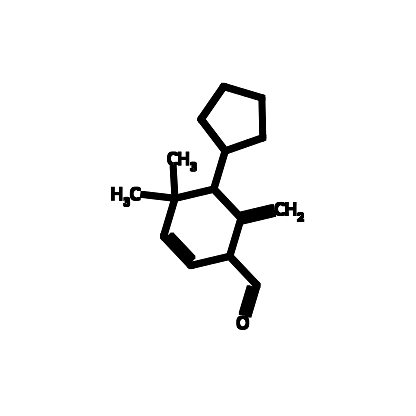 C=C1C(C=O)C=CC(C)(C)C1C1CCCC1